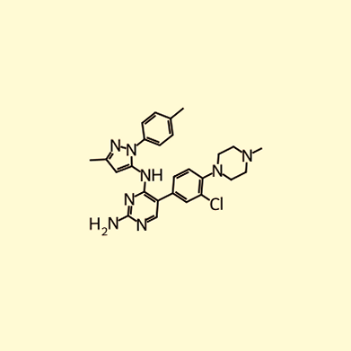 Cc1ccc(-n2nc(C)cc2Nc2nc(N)ncc2-c2ccc(N3CCN(C)CC3)c(Cl)c2)cc1